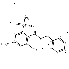 Nc1cc(C(=O)O)cc(S(N)(=O)=O)c1NCCc1ccccc1